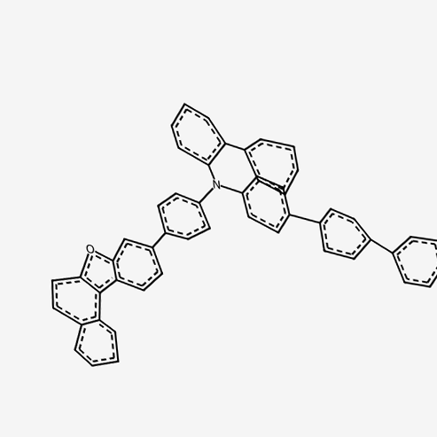 c1ccc(-c2ccc(-c3ccc(N(c4ccc(-c5ccc6c(c5)oc5ccc7ccccc7c56)cc4)c4ccccc4-c4ccccc4)cc3)cc2)cc1